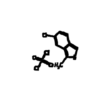 Cc1scc2ccc(Cl)cc12.O=S(=O)(Cl)Cl